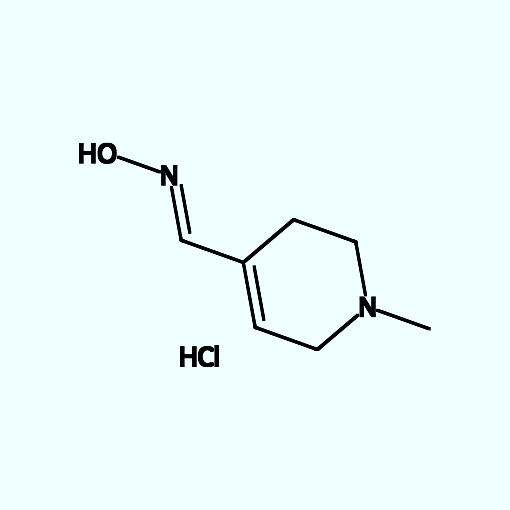 CN1CC=C(C=NO)CC1.Cl